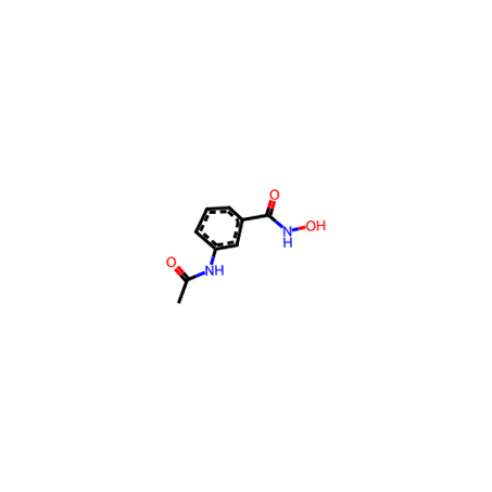 CC(=O)Nc1cccc(C(=O)NO)c1